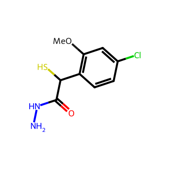 COc1cc(Cl)ccc1C(S)C(=O)NN